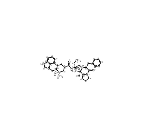 CC[C@]1(NC(=O)[C@@H]2CC3c4cccc5[nH]cc(c45)C[C@H]3N(C)C2)CN2[C@@H](Cc3ccccc3)C(=O)N3CCC[C@H]3C2(O)O1